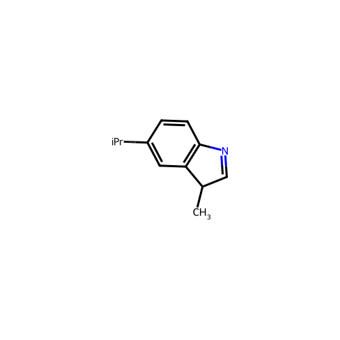 CC(C)c1ccc2c(c1)C(C)C=N2